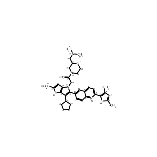 Cc1nc(C)c(-c2ccc3cc(-c4c(C5CCCC5)c5sc(C(=O)O)cc5n4CC(=O)N4CCOC(CN(C)C)C4)ccc3n2)s1